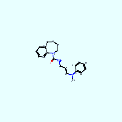 CCN(CCCNC(=O)N1CCCCc2ccccc21)c1ccccc1